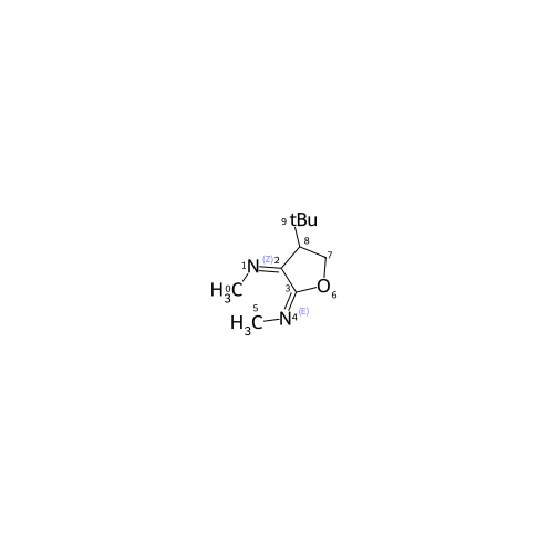 C/N=C1\C(=N/C)OCC1C(C)(C)C